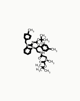 Cc1ccc(CC(CNC(=O)CN(C)C(=O)OC(C)(C)C)n2c(=NC(=O)OC(C)(C)C)n(Cc3ccc(C)cc3)c3ccccc32)cc1